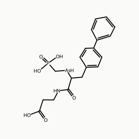 O=C(O)CCNC(=O)C(Cc1ccc(-c2ccccc2)cc1)[AsH]CP(=O)(O)O